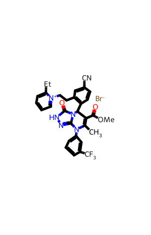 CCc1cccc[n+]1CCc1cc(C#N)ccc1C1C(C(=O)OC)=C(C)N(c2cccc(C(F)(F)F)c2)c2n[nH]c(=O)n21.[Br-]